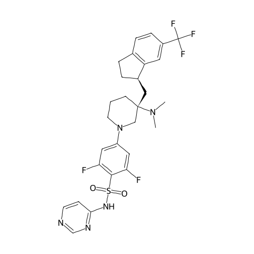 CN(C)[C@@]1(C[C@H]2CCc3ccc(C(F)(F)F)cc32)CCCN(c2cc(F)c(S(=O)(=O)Nc3ccncn3)c(F)c2)C1